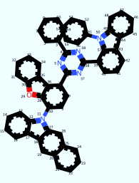 c1ccc(-c2nc(-c3ccc(-n4c5ccccc5c5cc6ccccc6cc54)c4oc5ccccc5c34)nc(-c3cccc4c5ccccc5n(-c5ccccc5)c34)n2)cc1